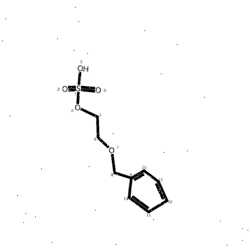 O=S(=O)(O)OCCOCc1ccccc1